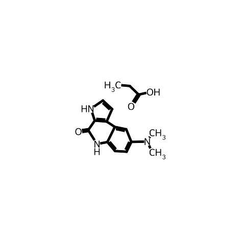 CCC(=O)O.CN(C)c1ccc2[nH]c(=O)c3[nH]ccc3c2c1